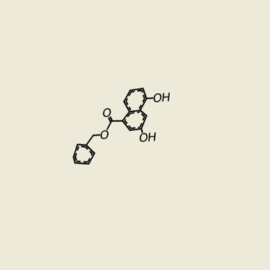 O=C(OCc1ccccc1)c1cc(O)cc2c(O)cccc12